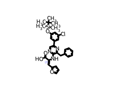 CC(C)(C)[Si](C)(C)Oc1cc(Cl)cc(-c2cnc(N/C(=C\c3ccco3)C(=O)O)c(Cc3ccccc3)n2)c1